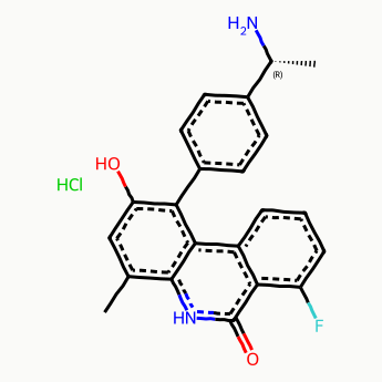 Cc1cc(O)c(-c2ccc([C@@H](C)N)cc2)c2c1[nH]c(=O)c1c(F)cccc12.Cl